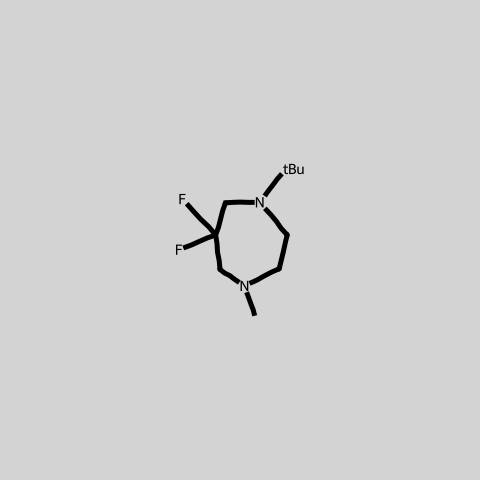 CN1CCN(C(C)(C)C)CC(F)(F)C1